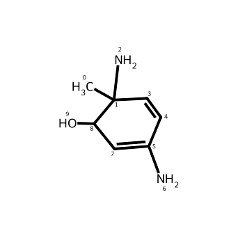 CC1(N)C=CC(N)=CC1O